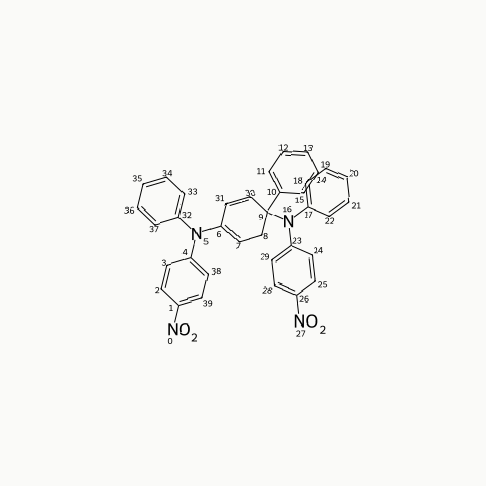 O=[N+]([O-])c1ccc(N(C2=CCC(c3ccccc3)(N(c3ccccc3)c3ccc([N+](=O)[O-])cc3)C=C2)c2ccccc2)cc1